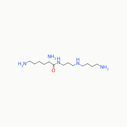 NCCCCNCCCNC(=O)[C@@H](N)CCCCN